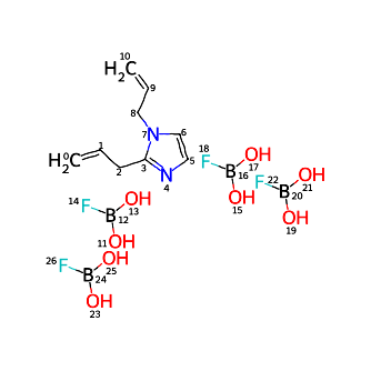 C=CCc1nccn1CC=C.OB(O)F.OB(O)F.OB(O)F.OB(O)F